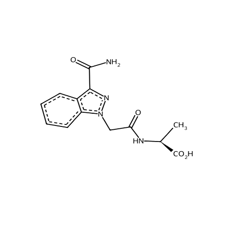 C[C@H](NC(=O)Cn1nc(C(N)=O)c2ccccc21)C(=O)O